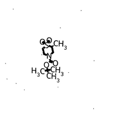 C[C@H]1CN(C(=O)OC(C)(C)C)CCS1(=O)=O